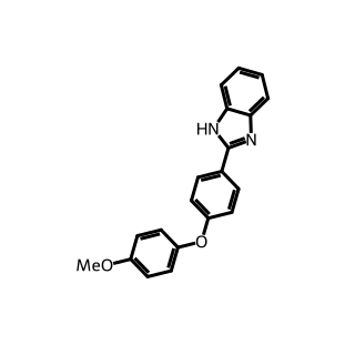 COc1ccc(Oc2ccc(-c3nc4ccccc4[nH]3)cc2)cc1